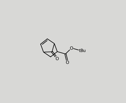 CC(C)(C)OC(=O)C1CC2C=CC1C2=O